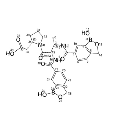 C[C@H](NC(=O)c1ccc2c(c1)B(O)OC2)[C@H](NC(=O)c1ccc2c(c1)B(O)OC2)C(=O)N1CCC[C@H]1CC(=O)O